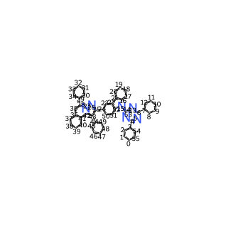 c1ccc(-c2nc(-c3ccccc3)nc(-n3c4ccccc4c4cc(-c5nn6c(-c7ccccc7)cc7ccccc7c6c5-c5ccccc5)ccc43)n2)cc1